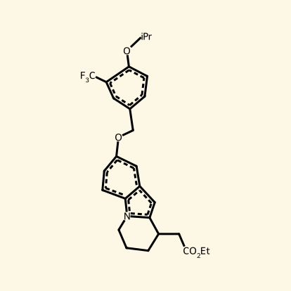 CCOC(=O)CC1CCCn2c1cc1cc(OCc3ccc(OC(C)C)c(C(F)(F)F)c3)ccc12